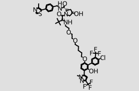 Cc1ncsc1-c1ccc(CNC(=O)[C@@H]2C[C@@H](O)CN2C(=O)[C@@H](NCCOCCOCCCCCOc2ccc(-c3cc(C(F)(F)F)nn3C)c(O)c2-c2ccc(Cl)c(C(F)(F)F)c2)C(C)(C)C)cc1